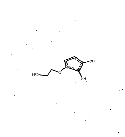 Nc1c(O)ccn1OCCO